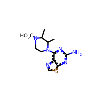 CC1C(C)N(c2nc(N)nc3scnc23)CCN1C(=O)O